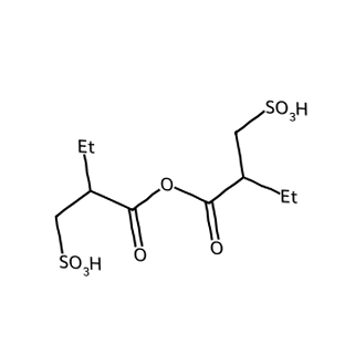 CCC(CS(=O)(=O)O)C(=O)OC(=O)C(CC)CS(=O)(=O)O